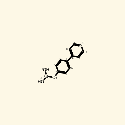 OB(O)Oc1ccc(-c2ccncc2)cc1